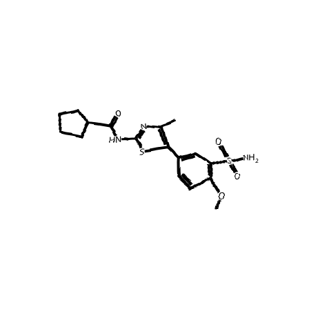 COc1ccc(-c2sc(NC(=O)C3CCCC3)nc2C)cc1S(N)(=O)=O